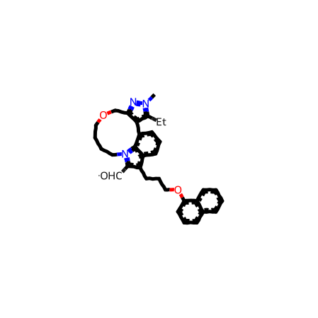 CCc1c2c(nn1C)COCCCCn1c([C]=O)c(CCCOc3cccc4ccccc34)c3cccc-2c31